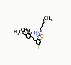 CCCCCCCNC(=O)Nc1c(F)cc(F)cc1CCc1ccc(CC(C)(C)C)cc1